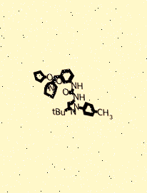 Cc1ccc(-n2nc(C(C)(C)C)cc2NC(=O)Nc2cccc(CC3CC4CCC(C3)N4C(=O)OC3CCCC3)c2)cc1